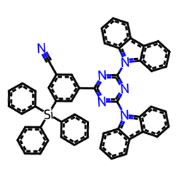 N#Cc1cc(-c2nc(-n3c4ccccc4c4ccccc43)nc(-n3c4ccccc4c4ccccc43)n2)cc([Si](c2ccccc2)(c2ccccc2)c2ccccc2)c1